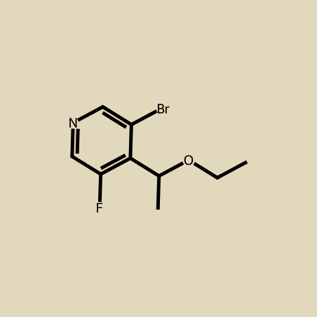 CCOC(C)c1c(F)cncc1Br